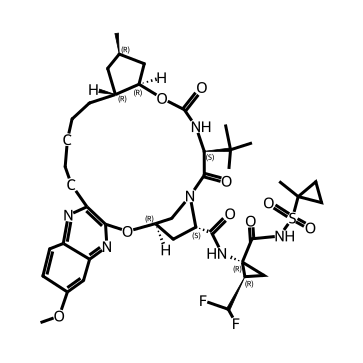 COc1ccc2nc3c(nc2c1)O[C@@H]1C[C@@H](C(=O)N[C@]2(C(=O)NS(=O)(=O)C4(C)CC4)C[C@H]2C(F)F)N(C1)C(=O)[C@H](C(C)(C)C)NC(=O)O[C@@H]1C[C@H](C)C[C@H]1CCCCC3